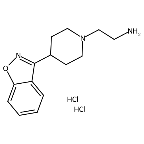 Cl.Cl.NCCN1CCC(c2noc3ccccc23)CC1